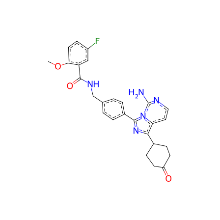 COc1ccc(F)cc1C(=O)NCc1ccc(-c2nc(C3CCC(=O)CC3)c3ccnc(N)n23)cc1